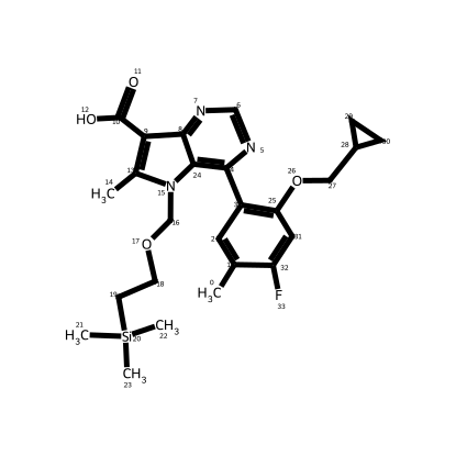 Cc1cc(-c2ncnc3c(C(=O)O)c(C)n(COCC[Si](C)(C)C)c23)c(OCC2CC2)cc1F